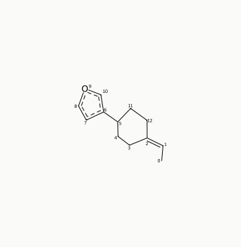 CC=C1CCC(c2ccoc2)CC1